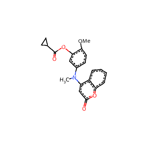 COc1ccc(N(C)c2cc(=O)oc3ccccc23)cc1OC(=O)C1CC1